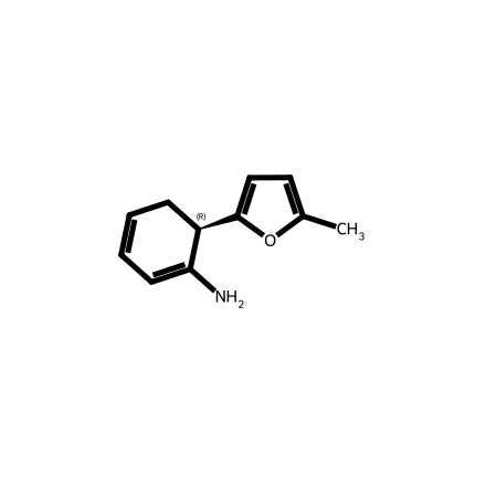 Cc1ccc([C@@H]2CC=CC=C2N)o1